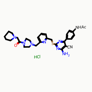 CC(=O)Nc1ccc(-c2nc(SCc3cccc(CN4CCN(C(=O)CN5CCCCC5)CC4)n3)nc(N)c2C#N)cc1.Cl